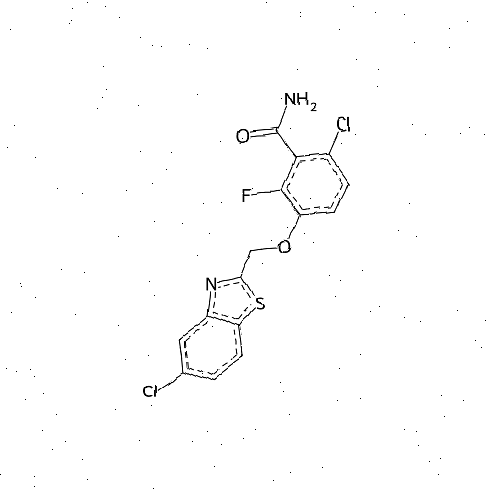 NC(=O)c1c(Cl)ccc(OCc2nc3cc(Cl)ccc3s2)c1F